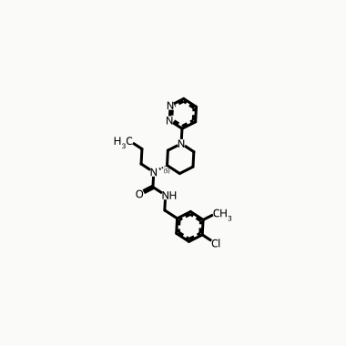 CCCN(C(=O)NCc1ccc(Cl)c(C)c1)[C@H]1CCCN(c2cccnn2)C1